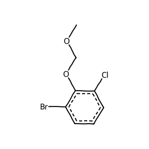 COCOc1c(Cl)cccc1Br